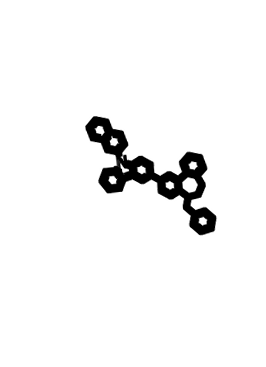 c1ccc(CC2CCc3ccccc3-c3cc(-c4ccc5c(c4)c4ccccc4n5-c4ccc5ccccc5c4)ccc32)cc1